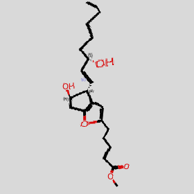 CCCCC[C@H](O)/C=C/[C@@H]1c2cc(CCCCC(=O)OC)oc2C[C@H]1O